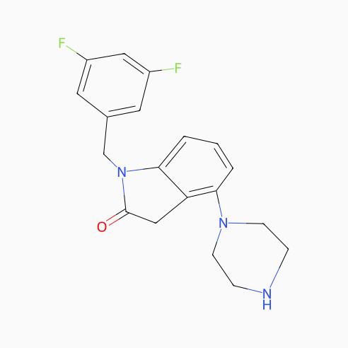 O=C1Cc2c(N3CCNCC3)cccc2N1Cc1cc(F)cc(F)c1